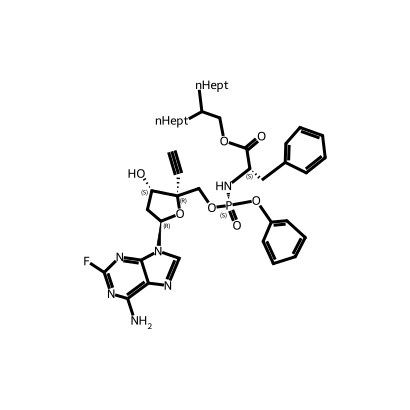 C#C[C@]1(CO[P@@](=O)(N[C@@H](Cc2ccccc2)C(=O)OCC(CCCCCCC)CCCCCCC)Oc2ccccc2)O[C@@H](n2cnc3c(N)nc(F)nc32)C[C@@H]1O